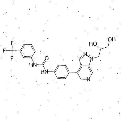 O=C(Nc1ccc(-c2cncc3c2cnn3CC(O)CO)cc1)Nc1cccc(C(F)(F)F)c1